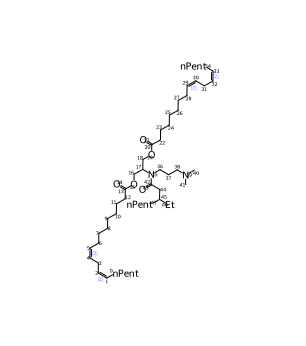 CCCCC/C=C\C/C=C\CCCCCCCC(=O)OCC(COC(=O)CCCCCCC/C=C\C/C=C\CCCCC)N(CCCN(C)C)C(=O)CC(CC)CCCCC